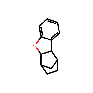 c1ccc2c(c1)OC1C3CCC(C3)C21